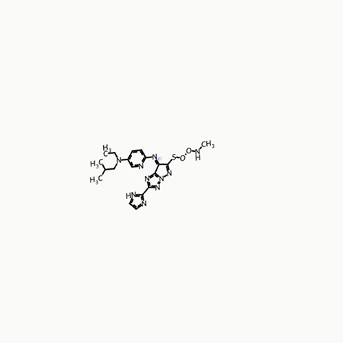 CCN(CC(C)C)c1ccc(/N=C2/C(SOONC)=Nn3nc(-c4ncc[nH]4)nc32)nc1